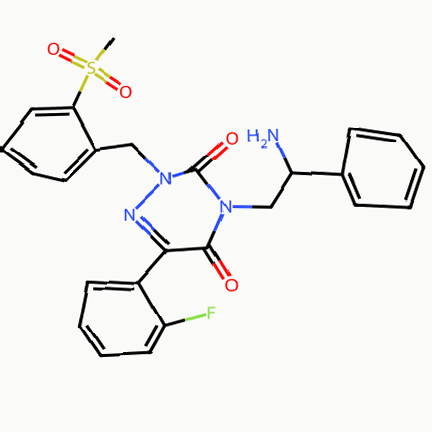 CS(=O)(=O)c1ccccc1Cn1nc(-c2ccccc2F)c(=O)n(CC(N)c2ccccc2)c1=O